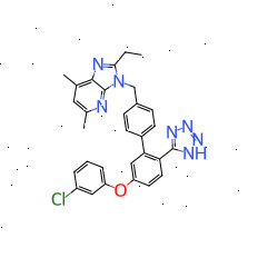 CCc1nc2c(C)cc(C)nc2n1Cc1ccc(-c2cc(Oc3cccc(Cl)c3)ccc2-c2nnn[nH]2)cc1